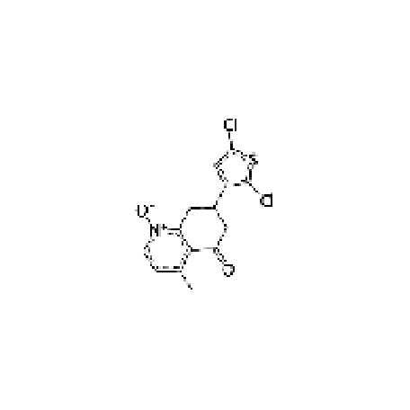 Cc1cc[n+]([O-])c2c1C(=O)CC(c1cc(Cl)sc1Cl)C2